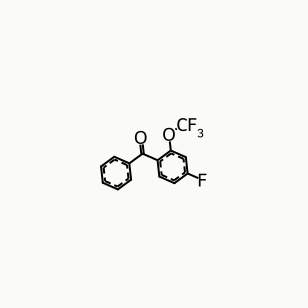 O=C(c1ccccc1)c1ccc(F)cc1OC(F)(F)F